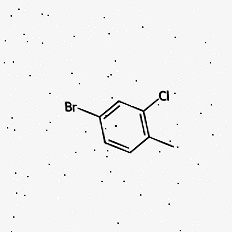 [CH2]c1ccc(Br)cc1Cl